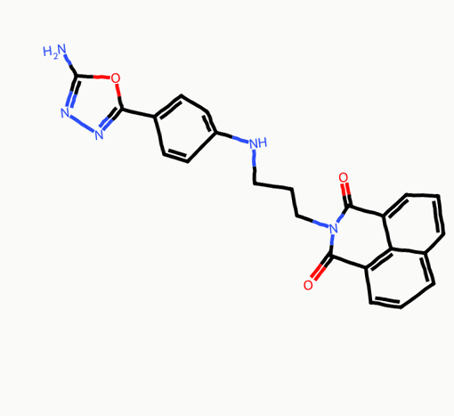 Nc1nnc(-c2ccc(NCCCN3C(=O)c4cccc5cccc(c45)C3=O)cc2)o1